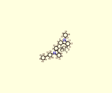 CC1(C)c2c(ccc3c2c2ccccc2n3-c2ccccc2)-c2ccc3c(c21)c1ccccc1n3-c1ccc(-c2ccccc2)cc1